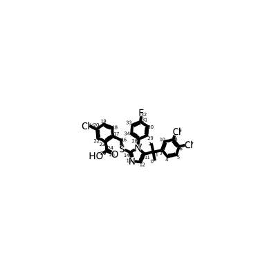 CC(C)(c1ccc(Cl)c(Cl)c1)c1cnc(SCc2ccc(Cl)cc2C(=O)O)n1-c1ccc(F)cc1